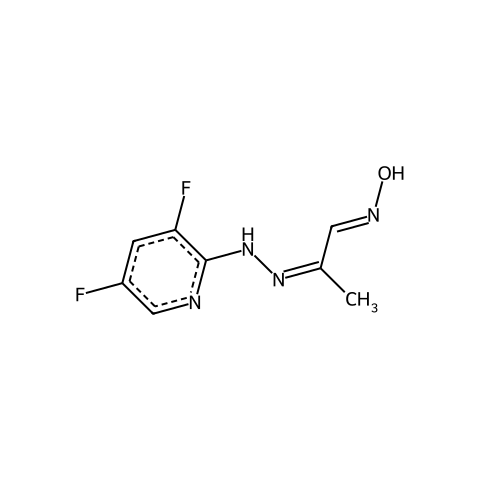 CC(C=NO)=NNc1ncc(F)cc1F